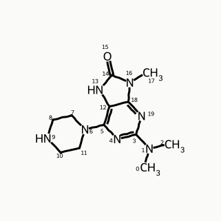 CN(C)c1nc(N2CCNCC2)c2[nH]c(=O)n(C)c2n1